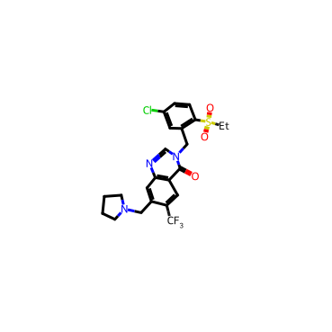 CCS(=O)(=O)c1ccc(Cl)cc1Cn1cnc2cc(CN3CCCC3)c(C(F)(F)F)cc2c1=O